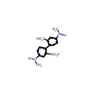 CC(=O)N(C)c1ccc(-c2ccc(N(C)C(C)=O)cc2S(=O)(=O)O)c(S(=O)(=O)O)c1